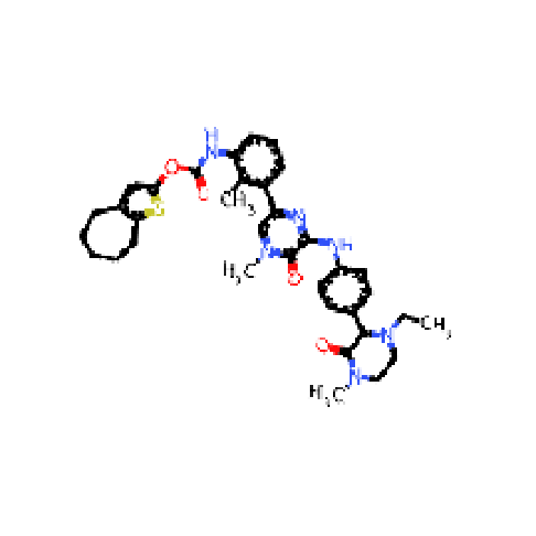 CCN1CCN(C)C(=O)C1c1ccc(Nc2nc(-c3cccc(NC(=O)Oc4cc5c(s4)CCCCC5)c3C)cn(C)c2=O)cc1